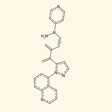 C=C(/C=C\N(N)c1ccncc1)C(=C)c1ccnn1-c1cccc2ncccc12